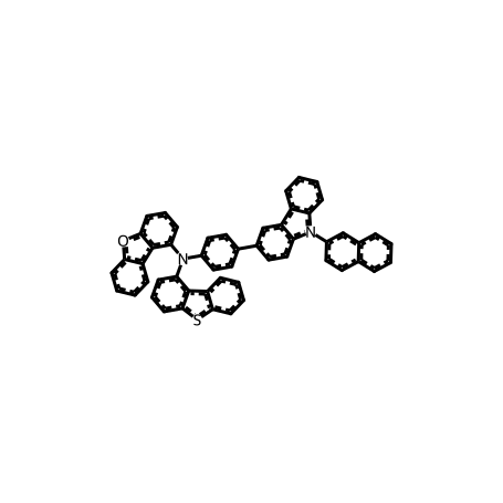 c1ccc2cc(-n3c4ccccc4c4cc(-c5ccc(N(c6cccc7oc8ccccc8c67)c6cccc7sc8ccccc8c67)cc5)ccc43)ccc2c1